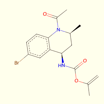 C=C(C)OC(=O)N[C@@H]1C[C@H](C)N(C(C)=O)c2ccc(Br)cc21